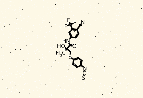 CC(O)(CSc1ccc(N=C=S)cc1)C(=O)Nc1ccc(C#N)c(C(F)(F)F)c1